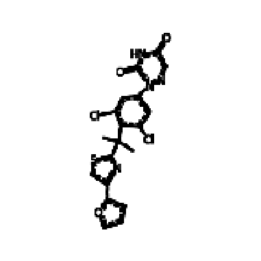 CC(C)(c1nc(-c2ccco2)cs1)c1c(Cl)cc(-n2ncc(=O)[nH]c2=O)cc1Cl